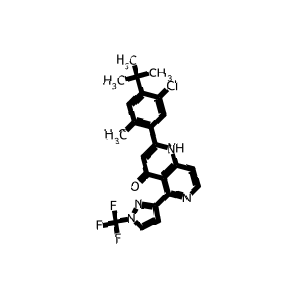 Cc1cc(C(C)(C)C)c(Cl)cc1-c1cc(=O)c2c(-c3ccn(C(F)(F)F)n3)nccc2[nH]1